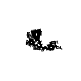 COc1ccc(/C=C/C(=O)/C(C/C=C/c2ccccc2)=C(O)/C=C/c2ccc(OC)c(OC)c2)cc1CO